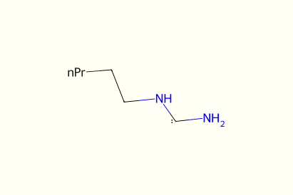 CCCCCN[C]N